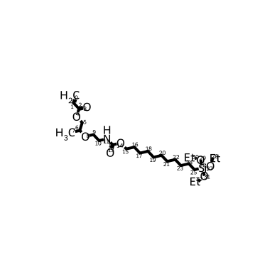 C=CC(=O)OCC(C)OCCNC(=O)OCCCCCCCCCCC[Si](OCC)(OCC)OCC